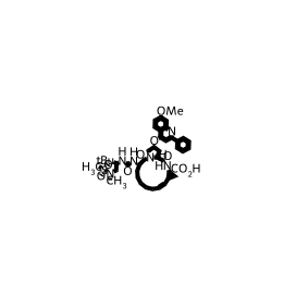 COc1ccc2c(O[C@@H]3C[C@H]4C(=O)N[C@]5(C(=O)O)CC5/C=C\CCCCC[C@H](NC(=O)NC(CN(C)S(C)(=O)=O)C(C)(C)C)C(=O)N4C3)cc(-c3ccccc3)nc2c1